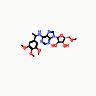 COC[C@H]1O[C@@H](n2cnc3c(NC(C)c4cc(OC)c(OC)c(OC)c4)ncnc32)C(O)[C@H]1O